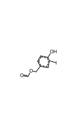 O=COCc1ccc(O)c(I)c1